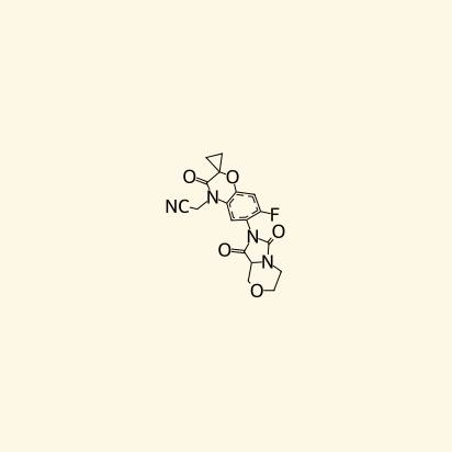 N#CCN1C(=O)C2(CC2)Oc2cc(F)c(N3C(=O)C4COCCN4C3=O)cc21